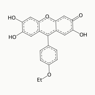 CCOc1ccc(-c2c3cc(O)c(=O)cc-3oc3cc(O)c(O)cc23)cc1